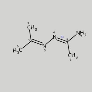 CC(C)=N/N=C(\C)N